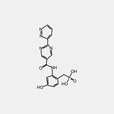 O=C(Nc1cc(O)ccc1CP(=O)(O)O)c1cnc(-c2cccnn2)nc1